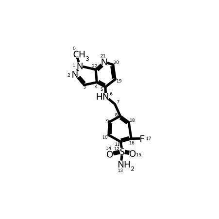 Cn1ncc2c(NCc3ccc(S(N)(=O)=O)c(F)c3)ccnc21